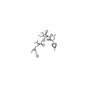 CCCC(NC(=O)N1C(=O)C(CC)(CC)C1OCC(=O)N(CCN(CC)CCOC)C(C)C)c1ccc(C)cc1